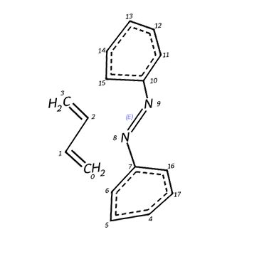 C=CC=C.c1ccc(/N=N/c2ccccc2)cc1